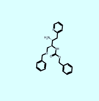 N[C@H](Cc1ccccn1)[C@H](COCc1ccccc1)NC(=O)OCc1ccccc1